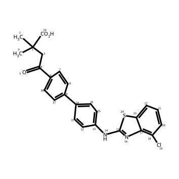 CC(C)(CC(=O)c1ccc(-c2ccc(Nc3nc4c(Cl)cccc4s3)cc2)cc1)C(=O)O